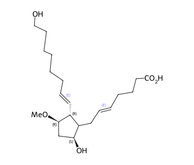 CO[C@@H]1C[C@H](O)C(C/C=C/CCCC(=O)O)[C@H]1/C=C/CCCCCCO